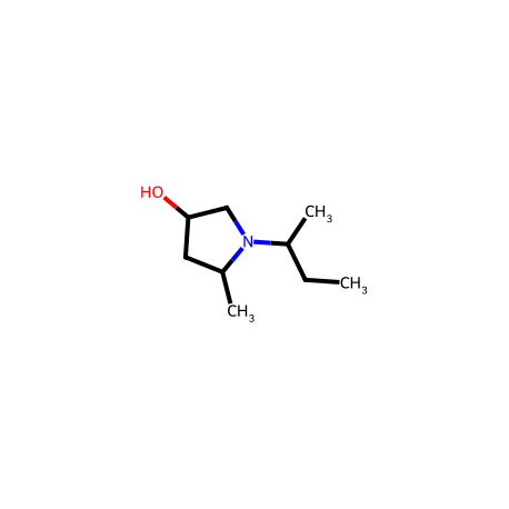 CCC(C)N1CC(O)CC1C